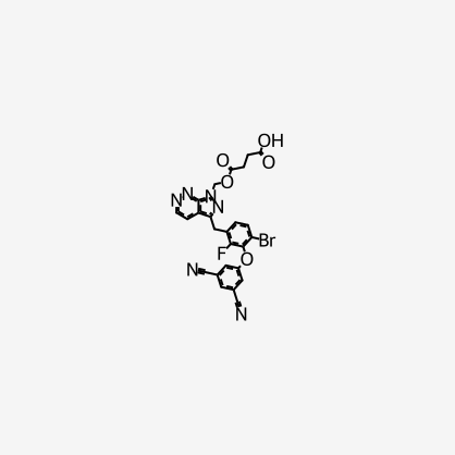 N#Cc1cc(C#N)cc(Oc2c(Br)ccc(Cc3nn(COC(=O)CCC(=O)O)c4nnccc34)c2F)c1